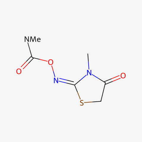 CNC(=O)ON=C1SCC(=O)N1C